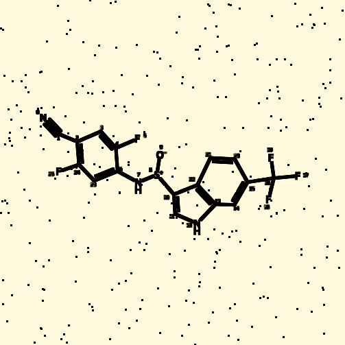 N#Cc1cc(F)c(N[S+]([O-])c2c[nH]c3cc(C(F)(F)F)ccc23)cc1F